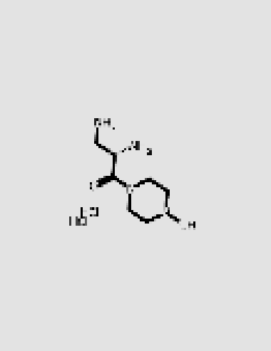 CN1CCN(C(=O)[C@@H](N)CN)CC1.Cl.Cl